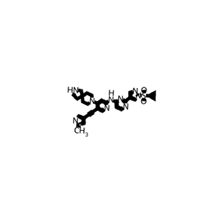 Cn1cc(C#Cc2cnc(Nc3ccnc(-c4cnn(S(=O)(=O)C5CC5)c4)n3)cc2N2CCC3(CCNC3)CC2)cn1